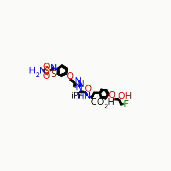 CC(C)[C@@H](C(=O)N[C@@H](Cc1ccc(OCC(O)CF)cc1)C(=O)O)n1cc(COc2ccc3nc(S(N)(=O)=O)sc3c2)nn1